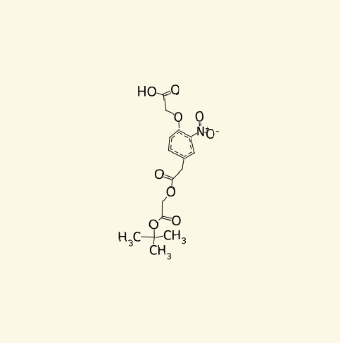 CC(C)(C)OC(=O)COC(=O)Cc1ccc(OCC(=O)O)c([N+](=O)[O-])c1